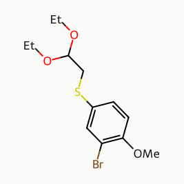 CCOC(CSc1ccc(OC)c(Br)c1)OCC